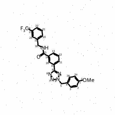 COc1ccc(Cn2nnc(-c3cccc(C(=O)NCc4cccc(C(F)(F)F)c4)c3)n2)cc1